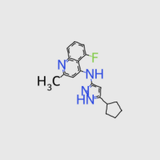 Cc1cc(Nc2cc(C3CCCC3)[nH]n2)c2c(F)cccc2n1